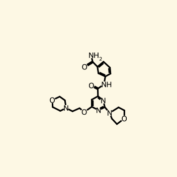 NC(=O)c1cccc(NC(=O)c2cc(OCCN3CCOCC3)nc(N3CCOCC3)n2)c1